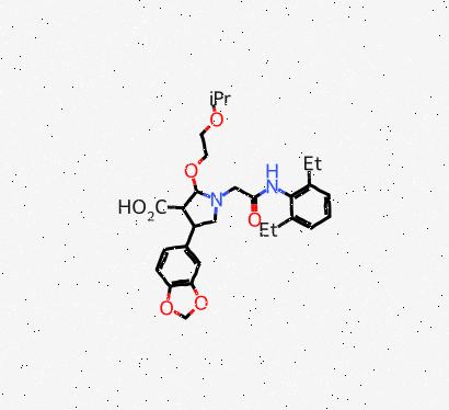 CCc1cccc(CC)c1NC(=O)CN1CC(c2ccc3c(c2)OCO3)C(C(=O)O)C1OCCOC(C)C